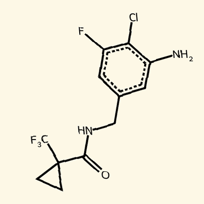 Nc1cc(CNC(=O)C2(C(F)(F)F)CC2)cc(F)c1Cl